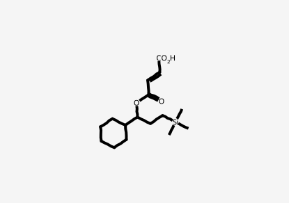 C[Si](C)(C)CCC(OC(=O)/C=C/C(=O)O)C1CCCCC1